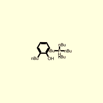 CCCC[PH](CCCC)(CCCC)CCCC.CCCCc1ccccc1O